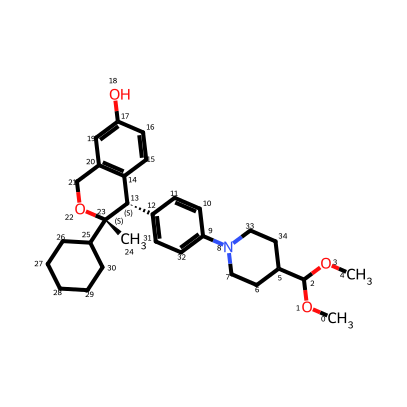 COC(OC)C1CCN(c2ccc([C@H]3c4ccc(O)cc4CO[C@@]3(C)C3CCCCC3)cc2)CC1